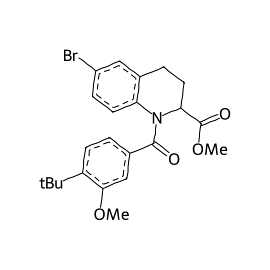 COC(=O)C1CCc2cc(Br)ccc2N1C(=O)c1ccc(C(C)(C)C)c(OC)c1